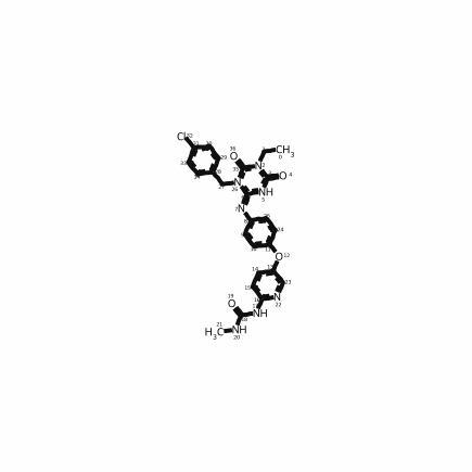 CCn1c(=O)[nH]/c(=N\c2ccc(Oc3ccc(NC(=O)NC)nc3)cc2)n(Cc2ccc(Cl)cc2)c1=O